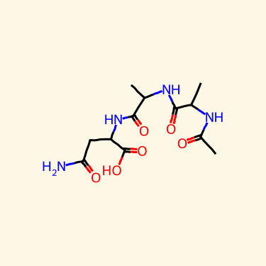 CC(=O)NC(C)C(=O)NC(C)C(=O)NC(CC(N)=O)C(=O)O